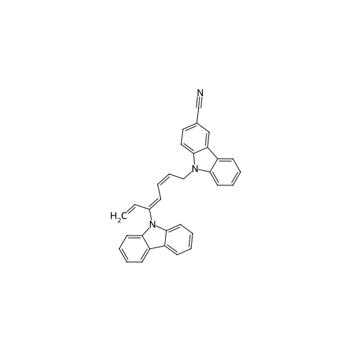 C=C/C(=C\C=C/Cn1c2ccccc2c2cc(C#N)ccc21)n1c2ccccc2c2ccccc21